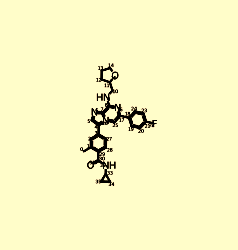 Cc1cc(-c2cnc3c(NCC4CCCO4)nc(-c4ccc(F)cc4)cn23)ccc1C(=O)NC1CC1